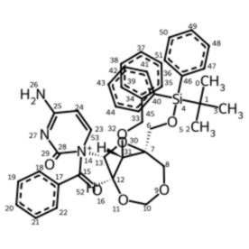 CC(C)(C)[Si](OC[C@@]12COCO[C@@H]([C@H]([N+]3(C(=O)c4ccccc4)C=CC(N)=NC3=O)O1)[C@@H]2OCc1ccccc1)(c1ccccc1)c1ccccc1